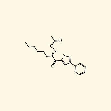 CCCCCCC(=NOC(C)=O)C(=O)c1cc(-c2ccccc2)cs1